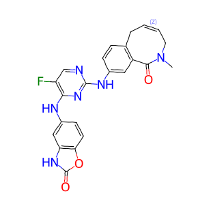 CN1C/C=C\Cc2ccc(Nc3ncc(F)c(Nc4ccc5oc(=O)[nH]c5c4)n3)cc2C1=O